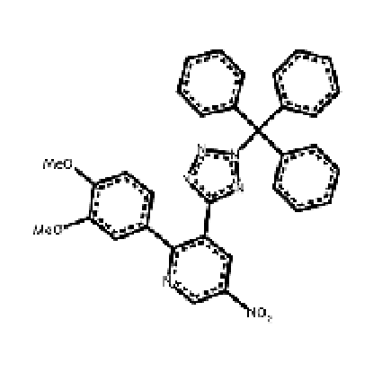 COc1ccc(-c2ncc([N+](=O)[O-])cc2-c2nnn(C(c3ccccc3)(c3ccccc3)c3ccccc3)n2)cc1OC